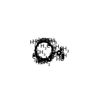 [2H]C([2H])(CO)O[C@@H]1CC[C@@H](C[C@@H](C)[C@@H]2CC(=O)[C@H](C)/C=C(\C)[C@@H](O)[C@@H](OC)C(=O)[C@H](C)C([2H])(C)[C@]([2H])(C)/C=C/C=C/C=C(\C)[C@@H](OC)C[C@@H]3CC([2H])([2H])[C@@H](C)[C@@](O)(O3)C(=O)C(=O)N3CCCC[C@H]3C(=O)O2)C[C@H]1OC